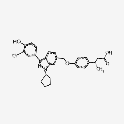 C[C@@H](CC(=O)O)c1ccc(OCc2ccc3c(-c4ccc(O)c(Cl)c4)nn(C4CCCC4)c3c2)cc1